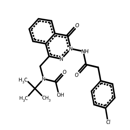 CC(C)(C)N(Cc1nn(NC(=O)Cc2ccc(Cl)cc2)c(=O)c2ccccc12)C(=O)O